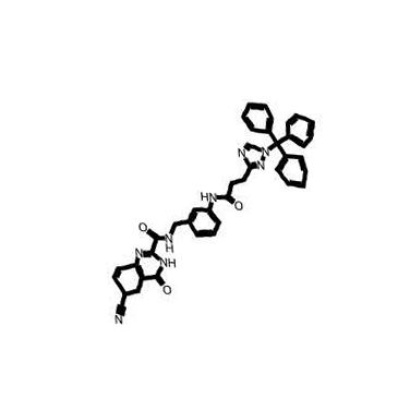 N#CC1C=Cc2nc(C(=O)NCc3cccc(NC(=O)CCc4ncn(C(c5ccccc5)(c5ccccc5)c5ccccc5)n4)c3)[nH]c(=O)c2C1